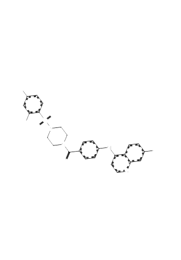 O=C(c1ccc(Nc2ccnc3cc(C(F)(F)F)ccc23)cc1)N1CCN(S(=O)(=O)c2ccc(F)cc2F)CC1